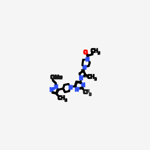 C=CC(=O)N1CCN([C@@H]2CN(c3cc(N4CCC(c5c(C)cnn5CCOC)CC4)nc(C(F)(F)F)n3)[C@@H]2C)CC1